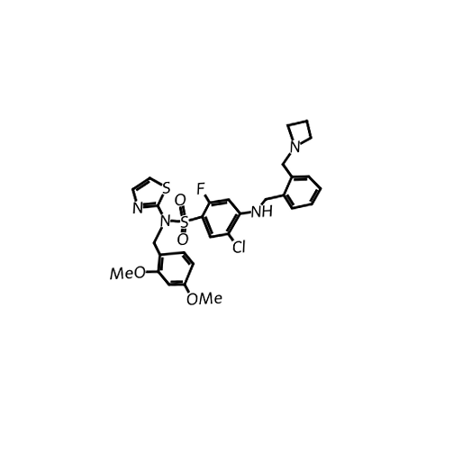 COc1ccc(CN(c2nccs2)S(=O)(=O)c2cc(Cl)c(NCc3ccccc3CN3CCC3)cc2F)c(OC)c1